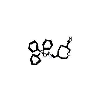 N#CC1CCCCC(/C=N/O[Si](c2ccccc2)(c2ccccc2)c2ccccc2)CC1